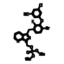 CC(C)(C)OP(=O)(OCn1nc(Cc2ccc(Br)c(Oc3cc(Cl)cc(C#N)c3)c2F)c2cccnc21)OC(C)(C)C